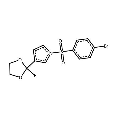 CCC1(c2ccn(S(=O)(=O)c3ccc(Br)cc3)c2)OCCO1